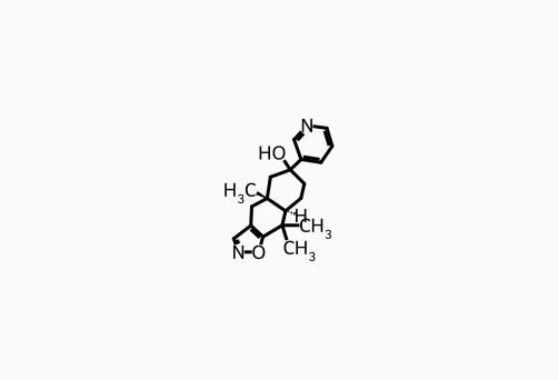 CC1(C)c2oncc2C[C@]2(C)CC(O)(c3cccnc3)CC[C@@H]12